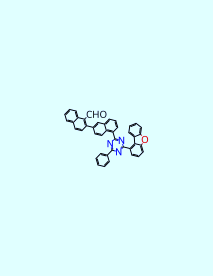 O=Cc1c(-c2ccc3c(-c4nc(-c5ccccc5)nc(-c5cccc6oc7ccccc7c56)n4)cccc3c2)ccc2ccccc12